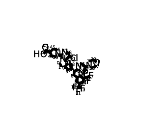 CC[C@@H]1C[C@H](C(Cc2cc(C(F)(F)F)cc(C(F)(F)F)c2)c2ncc(N3CCOCC3)cn2)CN1c1nc(N2CCC(C(=O)O)CC2)ncc1Cl